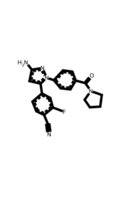 N#Cc1ccc(-c2cc(N)nn2-c2ccc(C(=O)N3CCCC3)cc2)cc1F